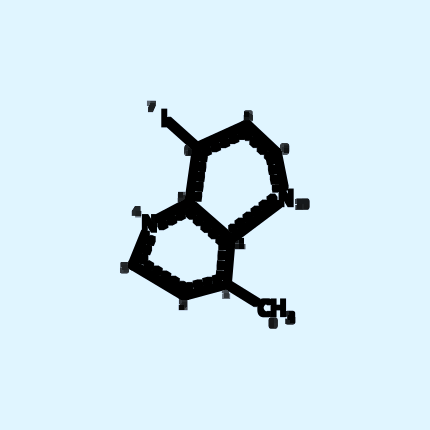 Cc1ccnc2c(I)ccnc12